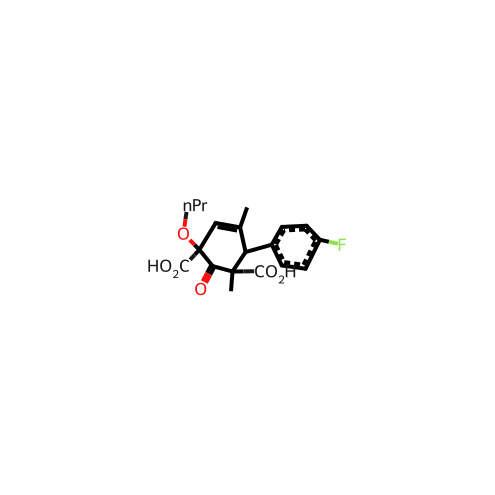 CCCOC1(C(=O)O)C=C(C)C(c2ccc(F)cc2)C(C)(C(=O)O)C1=O